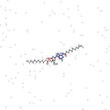 C#C[C@]1(COC(=O)CCCCCCCCC)O[C@@H](n2cnc3c(NC(=O)CCCCCCCCC)nc(F)nc32)C[C@@H]1O